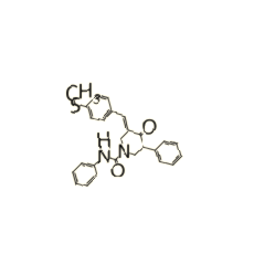 CSc1ccc(/C=C2\CN(C(=O)Nc3ccccc3)CC(c3ccccc3)C2=O)cc1